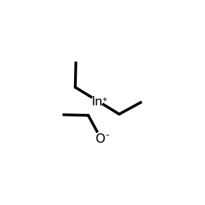 CC[O-].C[CH2][In+][CH2]C